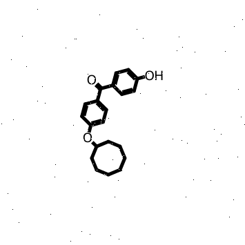 O=C(c1ccc(O)cc1)c1ccc(OC2CCCCCCC2)cc1